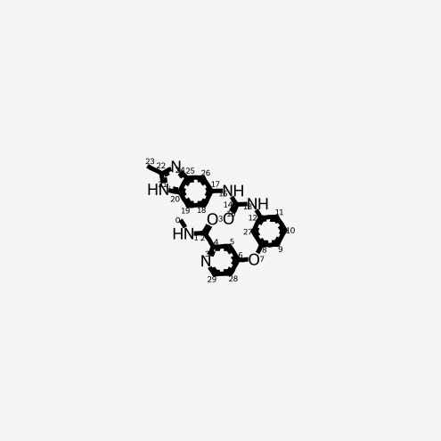 CNC(=O)c1cc(Oc2cccc(NC(=O)Nc3ccc4[nH]c(C)nc4c3)c2)ccn1